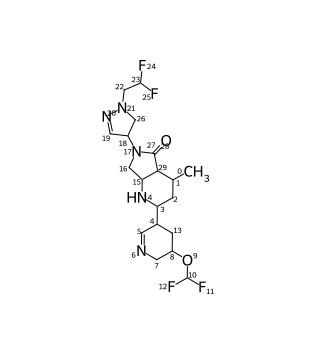 CC1CC(C2C=NCC(OC(F)F)C2)NC2CN(C3C=NN(CC(F)F)C3)C(=O)C12